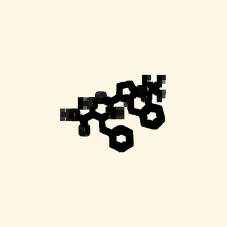 O=C(O)C(O)C(Cc1ccccc1)NC(=O)C1CCC(=O)N1Cc1ccccc1OC(F)(F)F